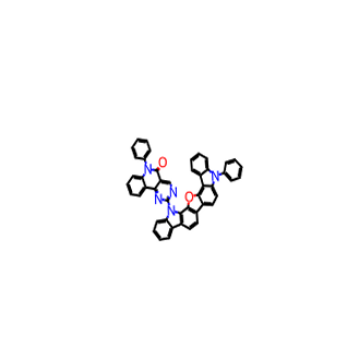 O=c1c2cnc(-n3c4ccccc4c4ccc5c6ccc7c(c8ccccc8n7-c7ccccc7)c6oc5c43)nc2c2ccccc2n1-c1ccccc1